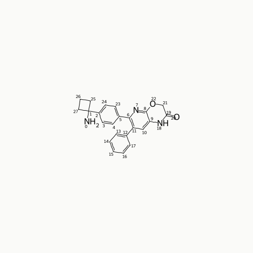 NC1(c2ccc(-c3nc4c(cc3-c3ccccc3)NC(=O)CO4)cc2)CCC1